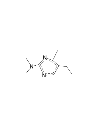 CCc1cnc(N(C)C)nc1C